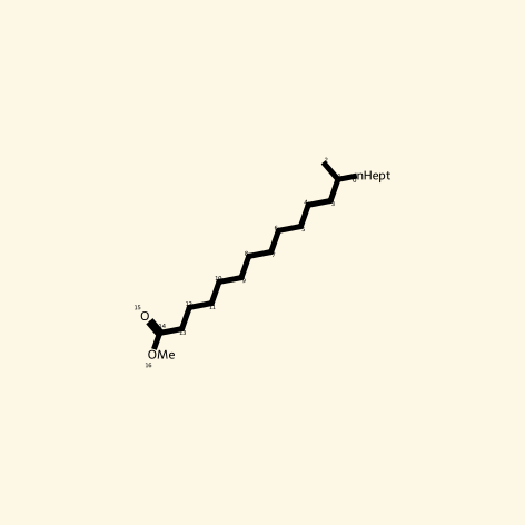 CCCCCCCC(C)CCCCCCCCCCCC(=O)OC